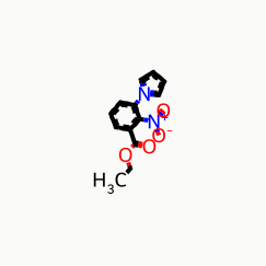 CCOC(=O)c1cccc(-n2cccc2)c1[N+](=O)[O-]